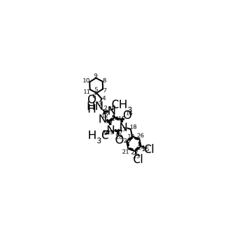 Cn1c(NCC2(O)CCCCC2)nc2c1c(=O)n(Cc1ccc(Cl)c(Cl)c1)c(=O)n2C